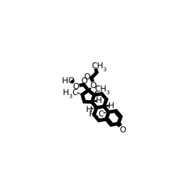 CCC(=O)O[C@]1(C(=O)OO)[C@@H](C)C[C@H]2[C@@H]3CCC4=CC(=O)C=C[C@]4(C)[C@H]3CC[C@@]21C